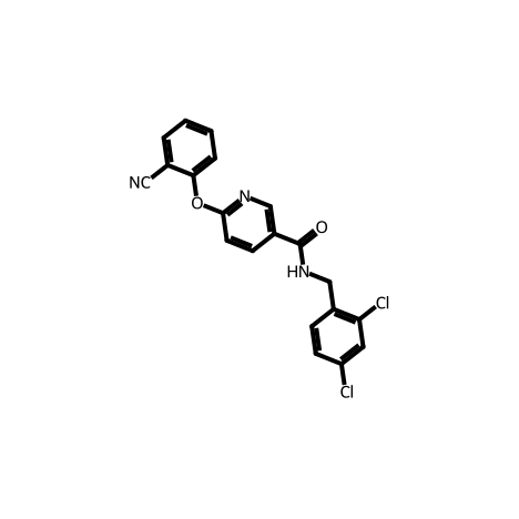 N#Cc1ccccc1Oc1ccc(C(=O)NCc2ccc(Cl)cc2Cl)cn1